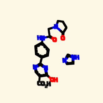 O=C(CN1CCCC1=O)Nc1ccc(-c2ncc(C(=O)O)c(O)n2)cc1.c1c[nH]cn1